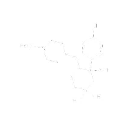 CC1(C)CCC(CC2CCN(C(=O)O)CC2)C(O)(c2ccc(Cl)cc2)C1